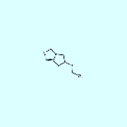 CCOC1CC2=NOCC2C1